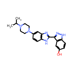 CC(C)N1CCN(c2ccc3[nH]c(-c4n[nH]c5ccc(O)cc45)nc3c2)CC1